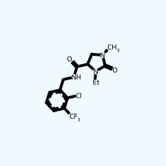 CCN1C(=O)N(C)CC1C(=O)NCc1cccc(C(F)(F)F)c1Cl